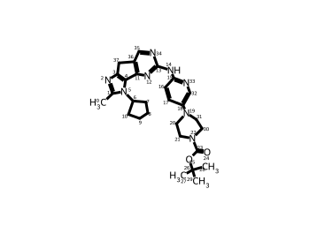 Cc1nc2c(n1C1CCCC1)-c1nc(Nc3ccc(N4CCN(C(=O)OC(C)(C)C)CC4)cn3)ncc1C2